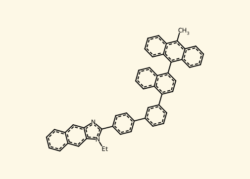 CCn1c(-c2ccc(-c3cccc(-c4ccc(-c5c6ccccc6c(C)c6ccccc56)c5ccccc45)c3)cc2)nc2cc3ccccc3cc21